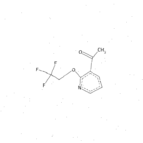 CC(=O)c1cccnc1OCC(F)(F)F